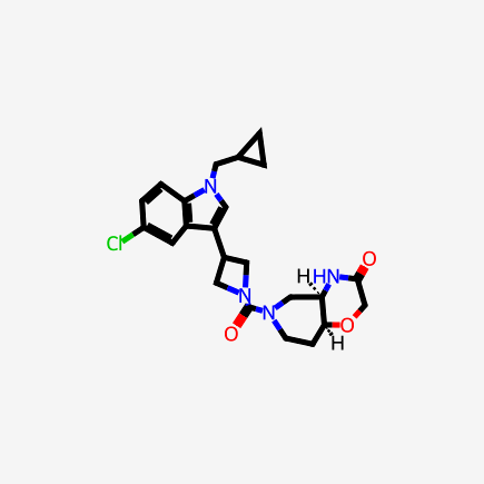 O=C1CO[C@H]2CCN(C(=O)N3CC(c4cn(CC5CC5)c5ccc(Cl)cc45)C3)C[C@H]2N1